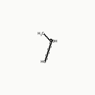 CCCCCCCCCc1ccc(O)c(COCCOCCOCCOCCOCCOCCO)c1